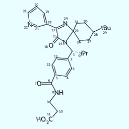 CC(C)[C@H](c1ccc(C(=O)NCCC(=O)O)cc1)N1C(=O)C(c2cccnc2)=NC12CCC(C(C)(C)C)CC2